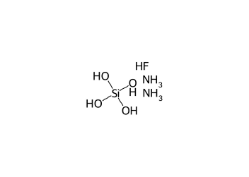 F.N.N.O[Si](O)(O)O